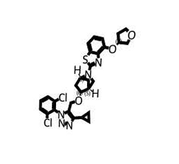 Clc1cccc(Cl)c1-n1nnc(C2CC2)c1CO[C@@H]1C[C@@H]2C[C@H]1CN2c1nc2c(O[C@H]3CCOC3)cccc2s1